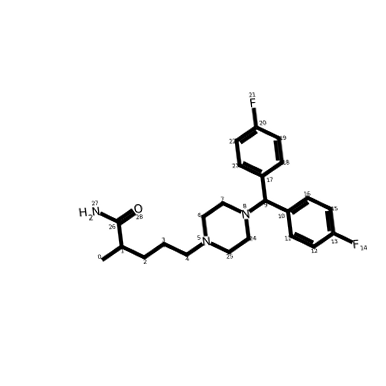 CC(C[CH]CN1CCN(C(c2ccc(F)cc2)c2ccc(F)cc2)CC1)C(N)=O